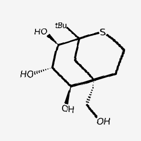 CC(C)(C)C12C[C@@](CO)(CCS1)[C@@H](O)[C@H](O)[C@H]2O